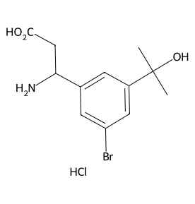 CC(C)(O)c1cc(Br)cc(C(N)CC(=O)O)c1.Cl